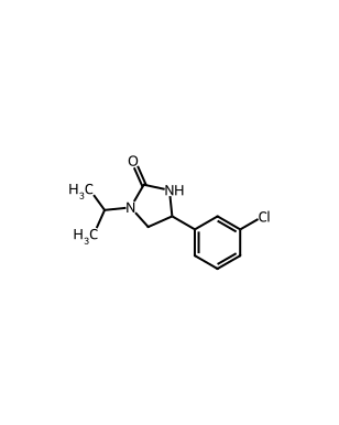 CC(C)N1CC(c2cccc(Cl)c2)NC1=O